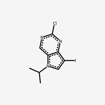 CC(C)n1cc(I)c2nc(Cl)ncc21